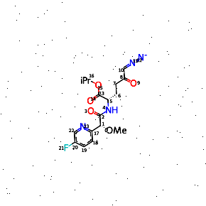 CO[C@@H](C(=O)N[C@@H](CCC(=O)C=[N+]=[N-])C(=O)OC(C)C)c1ccc(F)cn1